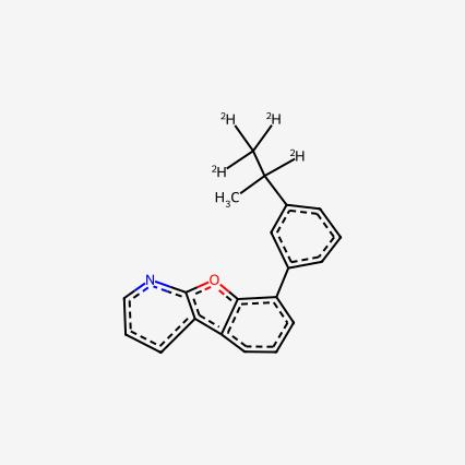 [2H]C([2H])([2H])C([2H])(C)c1cccc(-c2cccc3c2oc2ncccc23)c1